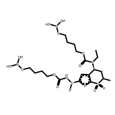 CCN(C(=O)OCCCCON(O)O)[C@H]1CC(C)S(=O)(=O)c2sc([S+]([O-])NC(=O)OCCCCON(O)O)cc21